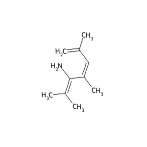 C=C(C)/C=C(/C)C(N)=C(C)C